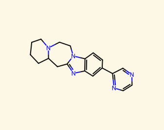 c1cnc(-c2ccc3c(c2)nc2n3CCN3CCCCC3C2)cn1